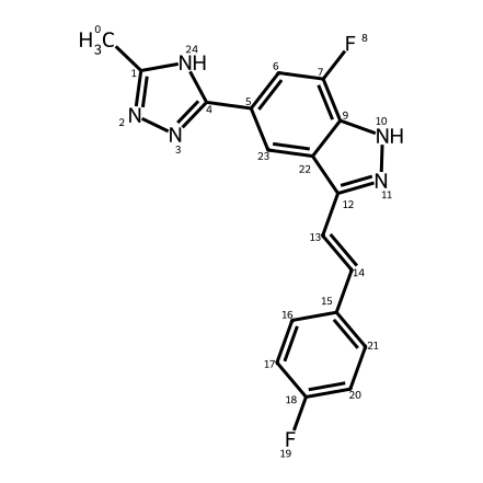 Cc1nnc(-c2cc(F)c3[nH]nc(/C=C/c4ccc(F)cc4)c3c2)[nH]1